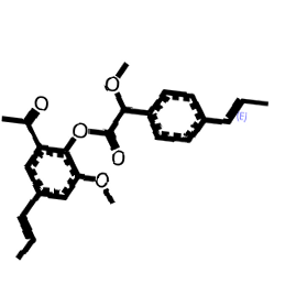 CC=Cc1cc(OC)c(OC(=O)C(OC)c2ccc(/C=C/C)cc2)c(C(C)=O)c1